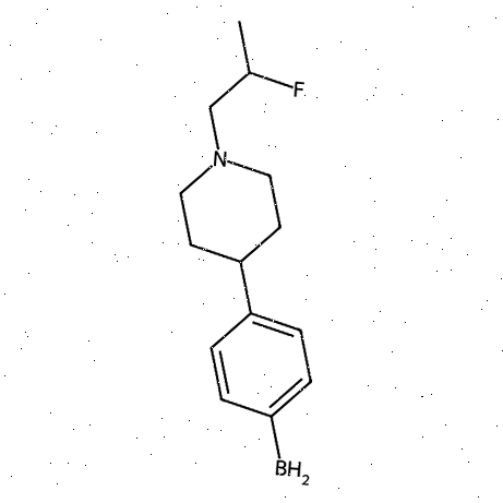 Bc1ccc(C2CCN(CC(C)F)CC2)cc1